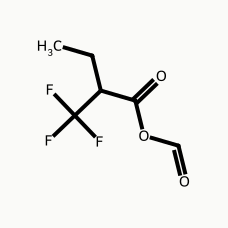 CCC(C(=O)OC=O)C(F)(F)F